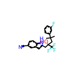 CC(C)(CC(O)(Cc1cc2cc(C#N)ccc2[nH]1)C(F)(F)F)c1cccc(F)c1